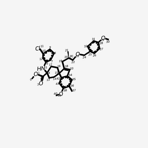 COC(=O)C1(Nc2cccc(Cl)c2)CCC2(CC1)C(C[C@@H](C)COCc1ccc(OC)cc1)=Cc1cc(C)c(OC)cc12